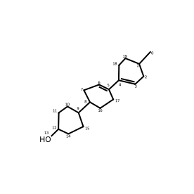 CC1CC=C(C2=CCC(C3CCC(O)CC3)CC2)CC1